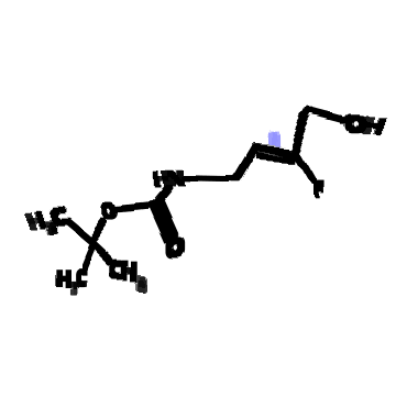 CC(C)(C)OC(=O)NC/C=C(\F)CO